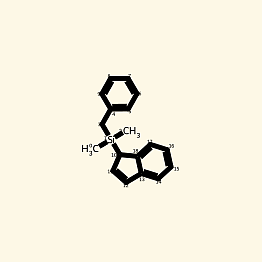 C[Si](C)(Cc1ccccc1)C1C=Cc2ccccc21